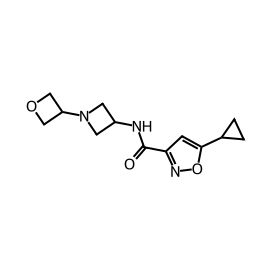 O=C(NC1CN(C2COC2)C1)c1cc(C2CC2)on1